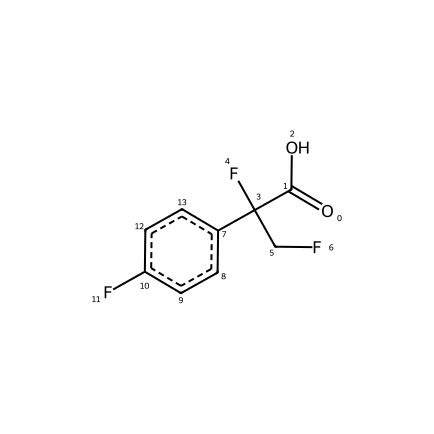 O=C(O)C(F)(CF)c1ccc(F)cc1